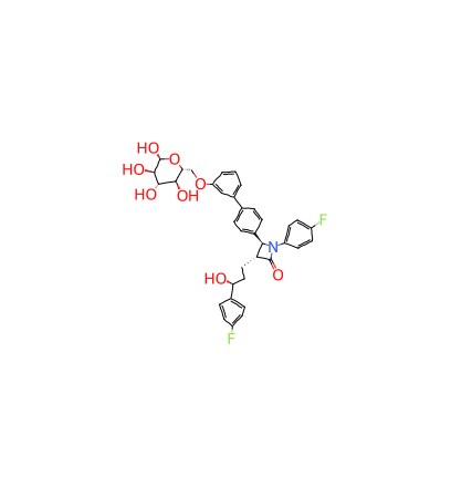 O=C1[C@H](CC[C@H](O)c2ccc(F)cc2)[C@@H](c2ccc(-c3cccc(OC[C@H]4O[C@H](O)[C@H](O)[C@@H](O)[C@@H]4O)c3)cc2)N1c1ccc(F)cc1